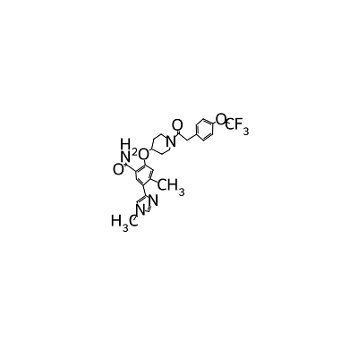 Cc1cc(OC2CCN(C(=O)Cc3ccc(OC(F)(F)F)cc3)CC2)c(C(N)=O)cc1-c1cn(C)cn1